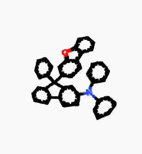 c1ccc(N(c2ccccc2)c2ccc3c(c2)C(c2ccccc2)(c2ccc4c(c2)oc2ccccc24)c2ccccc2-3)cc1